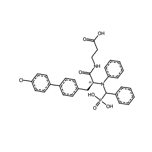 O=C(O)CCNC(=O)[C@H](Cc1ccc(-c2ccc(Cl)cc2)cc1)N(c1ccccc1)C(c1ccccc1)P(=O)(O)O